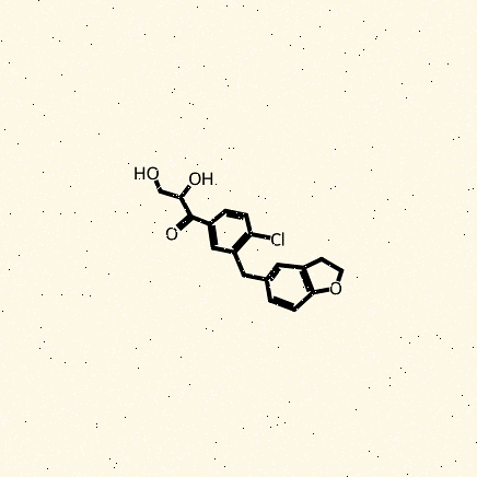 O=C(c1ccc(Cl)c(Cc2ccc3c(c2)CCO3)c1)C(O)CO